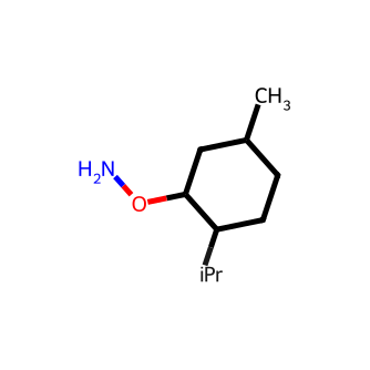 CC1CCC(C(C)C)C(ON)C1